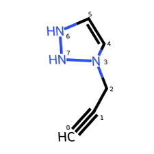 C#CCN1C=CNN1